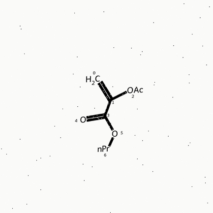 C=C(OC(C)=O)C(=O)OCCC